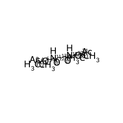 CC(=O)C(C)(C)COCCNC(=O)CCCC(=O)NCCOCC(C)(C)C(C)=O